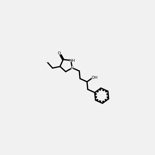 [CH2]CC1CN(CCC(O)Cc2ccccc2)NC1=O